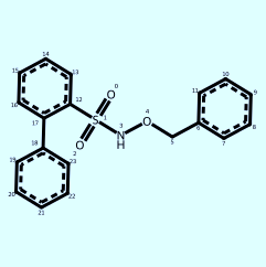 O=S(=O)(NOCc1ccccc1)c1ccccc1-c1ccccc1